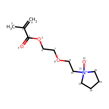 C=C(C)C(=O)OCCOCC[N+]1([O-])CCCC1